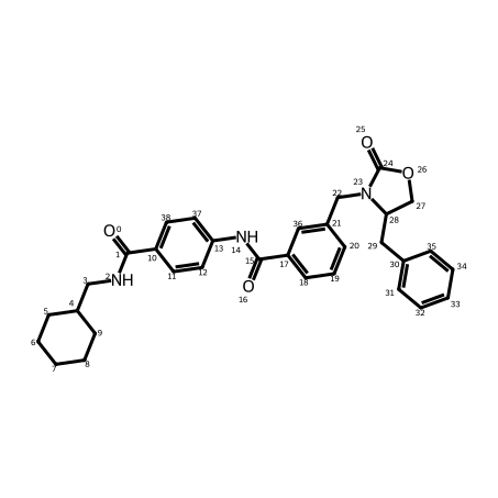 O=C(NCC1CCCCC1)c1ccc(NC(=O)c2cccc(CN3C(=O)OCC3Cc3ccccc3)c2)cc1